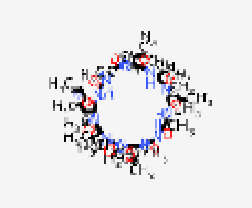 C/C=C/C[C@@H](C)CC1C(=O)NC(=O)N(C)CC(=O)N(C)[C@@H](CC(C)C)C(=O)NC(C(C)C)C(=O)N(C)[C@H](CC(C)C)C(=O)N[C@H](C)C(=O)NC(=O)N(C)[C@H](CC(C)C)C(=O)N(C)C(=O)N(C)C(C(C)C)C(=O)N1C